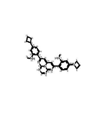 CNc1cc(N2CCC2)ccc1C1=CC2=CC(c3ccc(C4CCC4)cc3NC)=NC3=NC=NC(=N1)N23